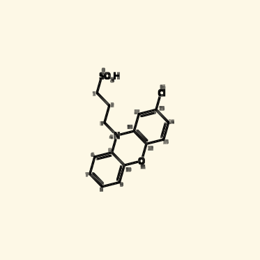 O=S(=O)(O)CCCN1c2ccccc2Oc2ccc(Cl)cc21